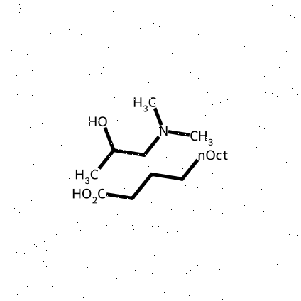 CC(O)CN(C)C.CCCCCCCCCCCC(=O)O